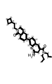 CCCN(CCC)C(=O)C1=Cc2ccc(-c3ccc4c(=O)n(CCC5CCC5)ccc4c3)cc2N=C(N)C1